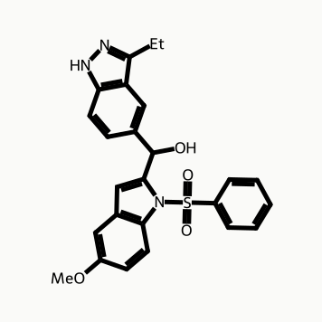 CCc1n[nH]c2ccc(C(O)c3cc4cc(OC)ccc4n3S(=O)(=O)c3ccccc3)cc12